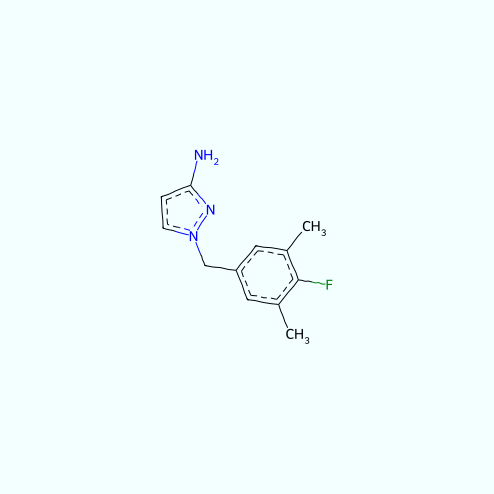 Cc1cc(Cn2ccc(N)n2)cc(C)c1F